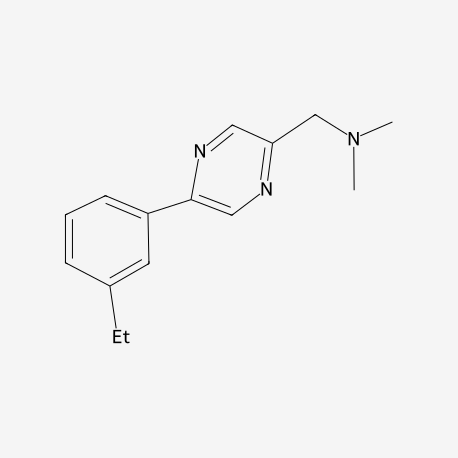 CCc1cccc(-c2cnc(CN(C)C)cn2)c1